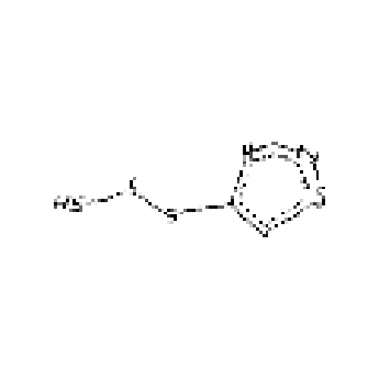 SSSc1csnn1